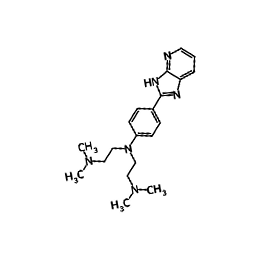 CN(C)CCN(CCN(C)C)c1ccc(-c2nc3cccnc3[nH]2)cc1